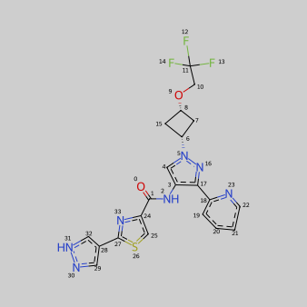 O=C(Nc1cn([C@H]2C[C@@H](OCC(F)(F)F)C2)nc1-c1ccccn1)c1csc(-c2cn[nH]c2)n1